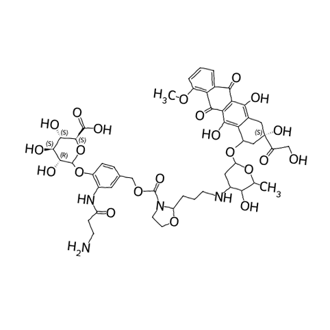 COc1cccc2c1C(=O)c1c(O)c3c(c(O)c1C2=O)C[C@@](O)(C(=O)CO)CC3OC1CC(NCCCC2OCCN2C(=O)OCc2ccc(OC3O[C@H](C(=O)O)[C@@H](O)[C@H](O)[C@H]3O)c(NC(=O)CCN)c2)C(O)C(C)O1